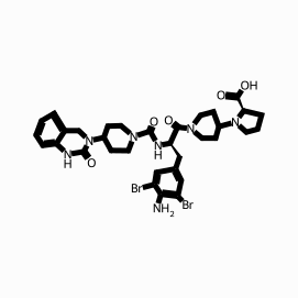 Nc1c(Br)cc(C[C@@H](NC(=O)N2CCC(N3Cc4ccccc4NC3=O)CC2)C(=O)N2CCC(N3CCC[C@@H]3C(=O)O)CC2)cc1Br